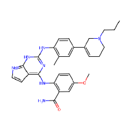 CCCN1CCC=C(c2ccc(Nc3nc(Nc4ccc(OC)cc4C(N)=O)c4ccnc-4[nH]3)c(C)c2)C1